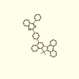 CC1(C)c2c(cc(-c3ccc(-c4nc(-c5ccccc5)c5ccccc5n4)cc3)c3ccccc23)-c2c1c1ccccc1c1ccccc21